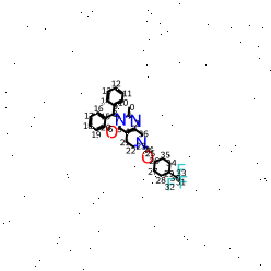 Cc1nc2c(c(=O)n1C(c1ccccc1)c1ccccc1)CCN(CO[C@H]1CC[C@H](C(F)(F)F)CC1)C2